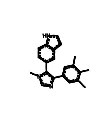 Cc1cc(-c2ncn(C)c2-c2ccc3[nH]ccc3c2)cc(C)c1C